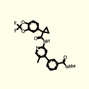 CNC(=O)c1cccc(-c2cc(NC(=O)C3(c4ccc5c(c4)OC(F)(F)O5)CC3)ncc2C)c1